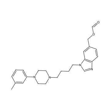 Cc1cccc(N2CCN(CCCCn3cnc4ccc(COC=O)cc43)CC2)c1